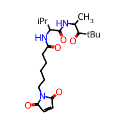 CC(NC(=O)C(NC(=O)CCCCCN1C(=O)C=CC1=O)C(C)C)C(=O)C(C)(C)C